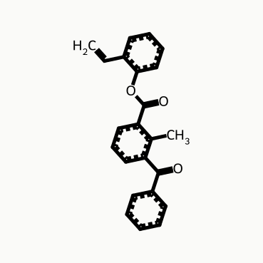 C=Cc1ccccc1OC(=O)c1cccc(C(=O)c2ccccc2)c1C